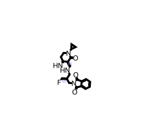 N=C1CCN(C2CC2)C(=O)/C1=C/NC/C(=C/F)CN1C(=O)c2ccccc2C1=O